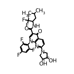 CC(C)CC(NC(=O)c1cn(-c2c(F)cc(F)cc2F)c2nc(N3C[C@@H](O)[C@H](O)C3)ccc2c1=O)C(F)(F)F